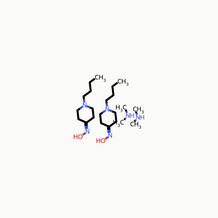 CCCCN1CCC(=NO)CC1.CCCCN1CCC(=NO)CC1.CNC.CNC